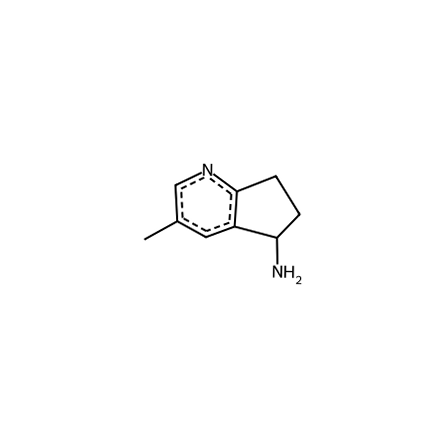 Cc1cnc2c(c1)C(N)CC2